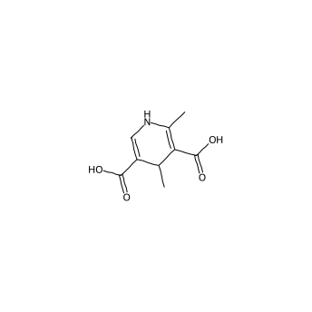 CC1=C(C(=O)O)C(C)C(C(=O)O)=CN1